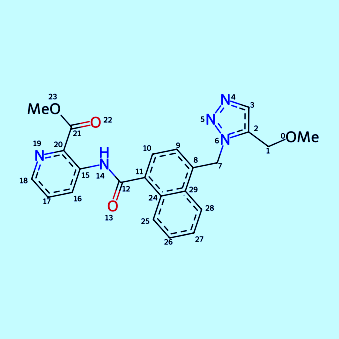 COCc1cnnn1Cc1ccc(C(=O)Nc2cccnc2C(=O)OC)c2ccccc12